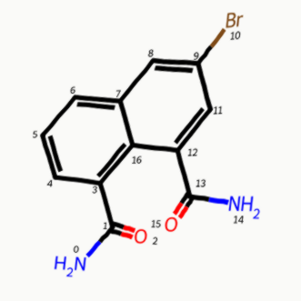 NC(=O)c1cccc2cc(Br)cc(C(N)=O)c12